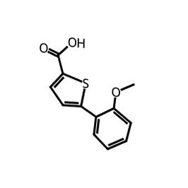 COc1ccccc1-c1ccc(C(=O)O)s1